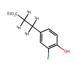 [2H]C([2H])(C(=O)OCC)C([2H])([2H])c1ccc(O)c(F)c1